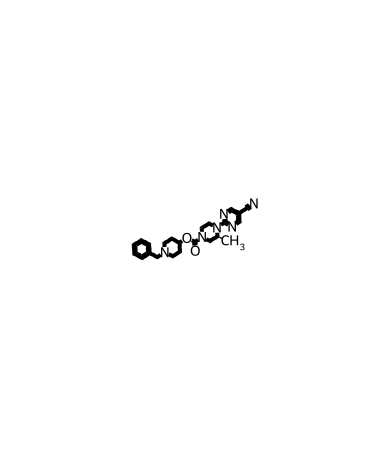 C[C@@H]1CN(C(=O)OC2CCN(Cc3ccccc3)CC2)CCN1c1ncc(C#N)cn1